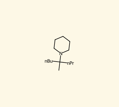 CCCCC(C)(CCC)N1CCCCC1